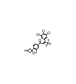 O=C(/C=C(\c1cc(Cl)c(Cl)c(Cl)c1)C(F)(F)F)c1ccc2c(c1)COC21CNC1